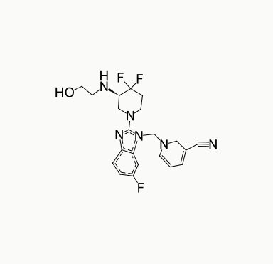 N#CC1=CC=CN(Cn2c(N3CCC(F)(F)[C@H](NCCO)C3)nc3ccc(F)cc32)C1